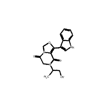 CC(CO)N1CC(=O)N2COC(c3c[nH]c4ccccc34)=C2C1=O